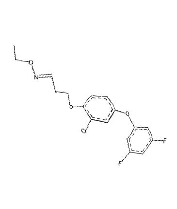 CCON=CCCOc1ccc(Oc2cc(F)cc(F)c2)cc1Cl